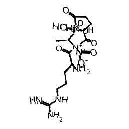 C[C@H]([N+](C(=O)[C@@H]1CCC(=O)N1)(C(=O)[C@@H](N)CCCNC(=N)N)[N+](=O)[O-])P(=O)(O)O